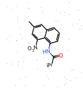 Cc1cc([N+](=O)[O-])c2c(NC(=O)C(C)C)cccc2c1